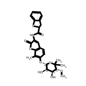 CO[C@@H]1[C@@H](O)[C@@H](O)[C@H](Oc2ccc3cc(NC(=O)C4Cc5ccccc5S4)c(=O)oc3c2C)OC1(C)C